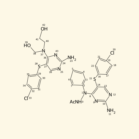 CC(=O)NN(c1ccccc1)c1nc(N)ncc1Sc1ccc(Cl)cc1.Nc1ncc(Sc2ccc(Cl)cc2)c(N(CO)CCO)n1